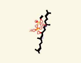 C=COP(=O)(O)OP(=O)(O)OC(/C=C(\C)CCC=C(C)C)C/C=C(\C)CCC=C(C)C